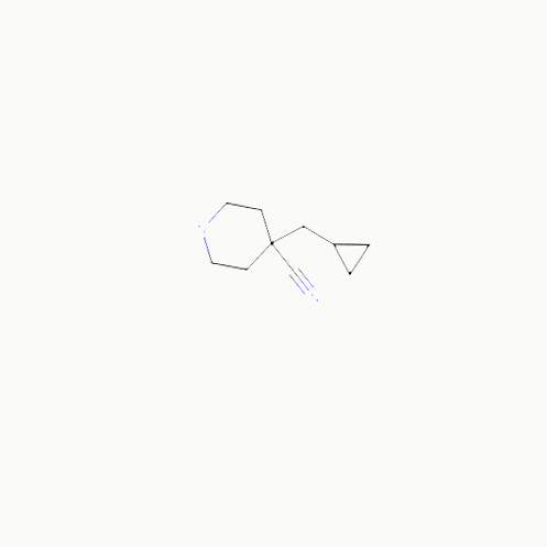 N#CC1(CC2CC2)CC[N]CC1